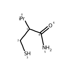 CC(C)C(CS)C(N)=O